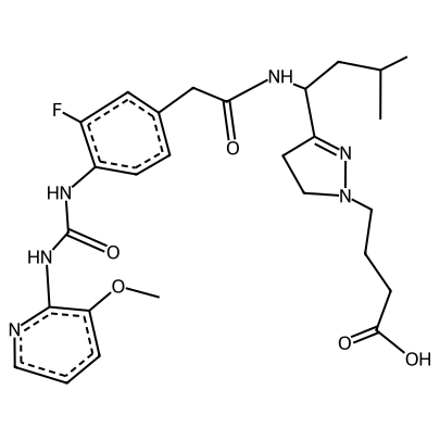 COc1cccnc1NC(=O)Nc1ccc(CC(=O)NC(CC(C)C)C2=NN(CCCC(=O)O)CC2)cc1F